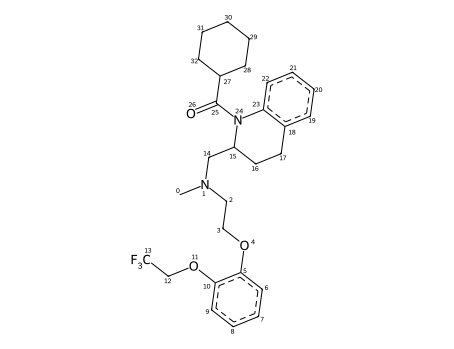 CN(CCOc1ccccc1OCC(F)(F)F)CC1CCc2ccccc2N1C(=O)C1CCCCC1